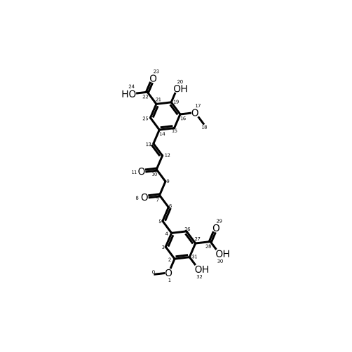 COc1cc(C=CC(=O)CC(=O)C=Cc2cc(OC)c(O)c(C(=O)O)c2)cc(C(=O)O)c1O